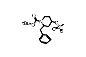 CC(C)(C)OC(=O)N1CCC(OS(C)(=O)=O)CC1Cc1ccccc1